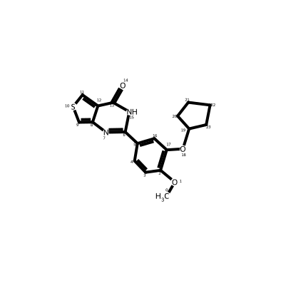 COc1ccc(-c2nc3cscc3c(=O)[nH]2)cc1OC1CCCC1